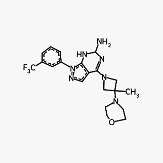 CC1(N2CCOCC2)CN(C2=NC(N)Nc3c2cnn3-c2cccc(C(F)(F)F)c2)C1